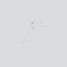 Cc1cc(Cn2c(C(F)(F)C(F)(F)F)nnc2C(F)(F)C(F)(F)F)ccc1N